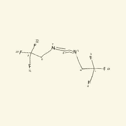 FC(F)(F)CN=C=NCC(F)(F)F